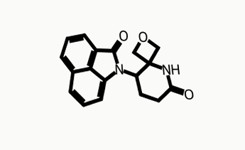 O=C1CCC(N2C(=O)c3cccc4cccc2c34)C2(COC2)N1